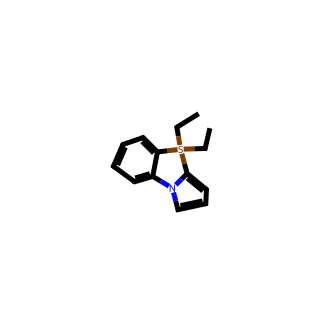 CCS1(CC)c2ccccc2-n2cccc21